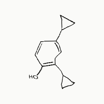 Oc1ccc(C2CC2)cc1C1CC1